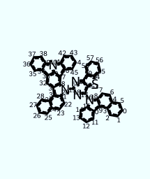 c1ccc2c(c1)ccc1c2c2ccccc2n1-c1nc(-n2c3ccc4ccccc4c3c3cc4c5ccccc5n5c6ccccc6c(c32)c45)nc2c1sc1ccccc12